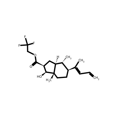 C=C/C=C(\C)[C@H]1CC[C@]2(C)[C@@H](O)[C@@H](C(=O)OCC(F)(F)F)C[C@H]2[C@@H]1C